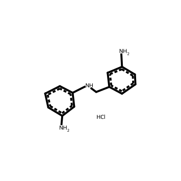 Cl.Nc1cccc(CNc2cccc(N)c2)c1